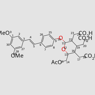 COc1cc(/C=C/c2ccc(OC3OC(COC(C)=O)C(CC(=O)O)C(CC(=O)O)C3CC(=O)O)cc2)cc(OC)c1